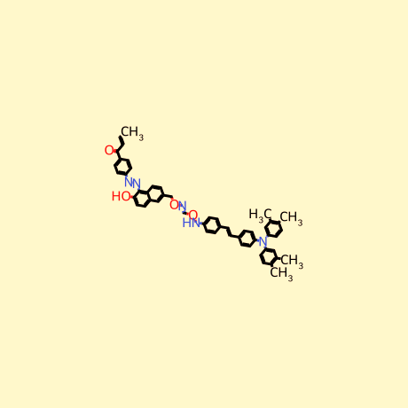 CC=CC(=O)c1ccc(N=Nc2c(O)ccc3cc(CO/N=C/ONc4ccc(C=Cc5ccc(N(c6ccc(C)c(C)c6)c6ccc(C)c(C)c6)cc5)cc4)ccc23)cc1